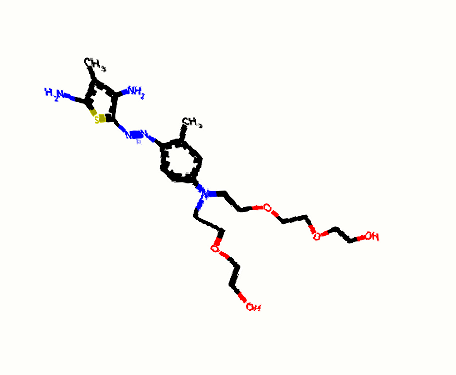 Cc1cc(N(CCOCCO)CCOCCOCCO)ccc1/N=N/c1sc(N)c(C)c1N